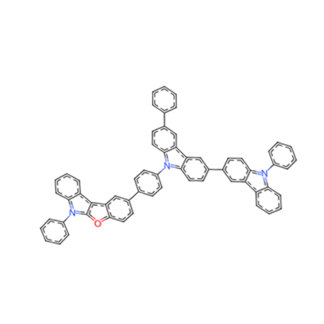 c1ccc(-c2ccc3c(c2)c2cc(-c4ccc5c(c4)c4ccccc4n5-c4ccccc4)ccc2n3-c2ccc(-c3ccc4oc5c(c4c3)c3ccccc3n5-c3ccccc3)cc2)cc1